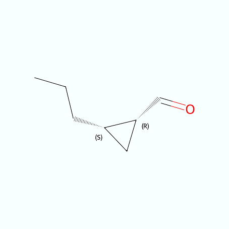 CCC[C@H]1C[C@H]1C=O